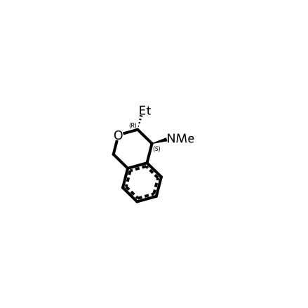 CC[C@H]1OCc2ccccc2[C@@H]1NC